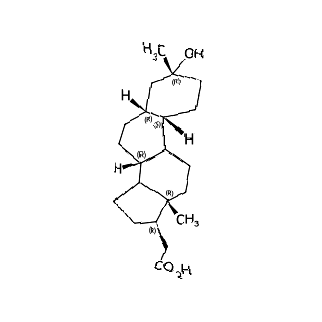 C[C@@]1(O)CC[C@@H]2C3CC[C@@]4(C)C(CC[C@@H]4CC(=O)O)[C@@H]3CC[C@@H]2C1